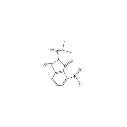 CC(C)C(=O)C1C(=O)c2cccc([N+](=O)[O-])c2C1=O